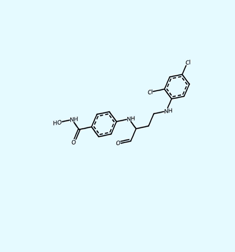 O=CC(CCNc1ccc(Cl)cc1Cl)Nc1ccc(C(=O)NO)cc1